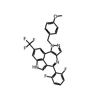 COc1ccc(Cn2ncc3c2-c2cc(C(F)(F)F)cc4[nH]cc(c24)C(c2c(F)cccc2F)=N3)cc1